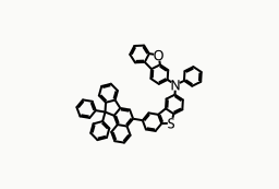 c1ccc(N(c2ccc3c(c2)oc2ccccc23)c2ccc3sc4ccc(-c5cc6c(c7ccccc57)C(c5ccccc5)(c5ccccc5)c5ccccc5-6)cc4c3c2)cc1